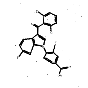 O=C(O)c1ccc(-n2cc(C(=O)c3c(Cl)cccc3Cl)c3ccc(F)cc32)c(F)c1